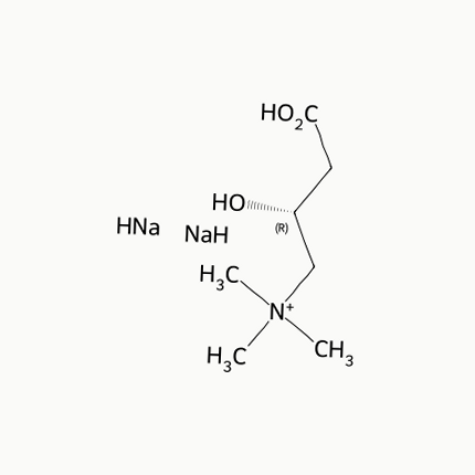 C[N+](C)(C)C[C@H](O)CC(=O)O.[NaH].[NaH]